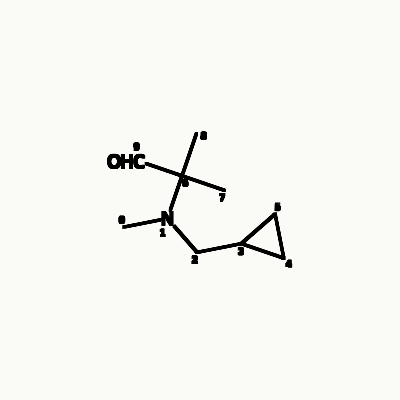 CN(CC1CC1)C(C)(C)C=O